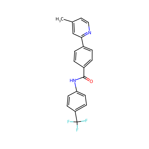 Cc1ccnc(-c2ccc(C(=O)Nc3ccc(C(F)(F)F)cc3)cc2)c1